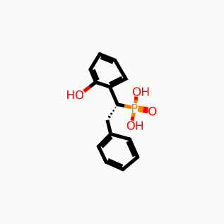 O=P(O)(O)[C@H](Cc1ccccc1)c1ccccc1O